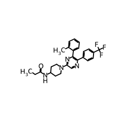 CCC(=O)NC1CCN(c2cnc(-c3ccc(C(F)(F)F)cc3)c(-c3ccccc3C)n2)CC1